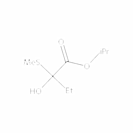 CCC(O)(SC)C(=O)OC(C)C